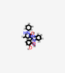 COc1cccc(C2(C(CC(C)C)C(=O)NC3CCCCC3)Nc3ccccc3N2)c1OC